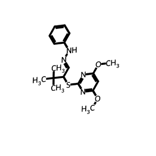 COc1cc(OC)nc(SC(C=NNc2ccccc2)C(C)(C)C)n1